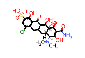 CN(C)[C@@H]1C(O)=C(C(N)=O)C(=O)[C@@]2(O)C(O)=C3C(=O)c4c(O)c(S(=O)(=O)O)cc(Cl)c4CC3C[C@@H]12